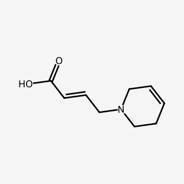 O=C(O)C=CCN1CC=CCC1